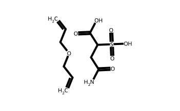 C=CCOCC=C.NC(=O)CC(C(=O)O)S(=O)(=O)O